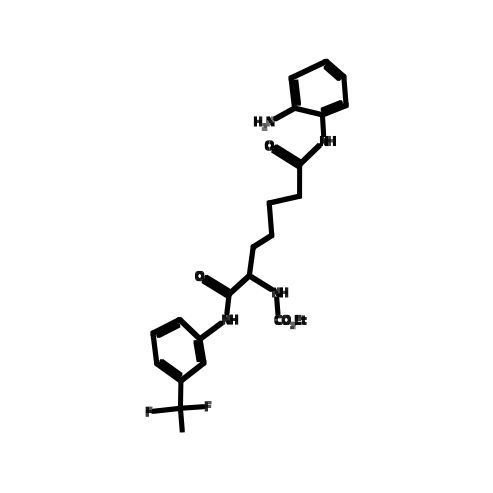 CCOC(=O)NC(CCCCC(=O)Nc1ccccc1N)C(=O)Nc1cccc(C(C)(F)F)c1